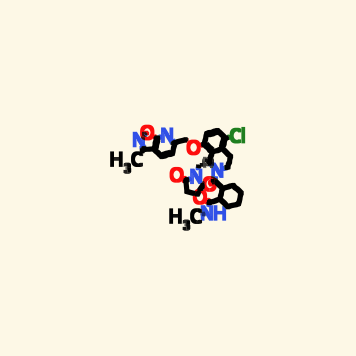 CNC(=O)C1CCCCC1C(=O)N1CCc2c(Cl)ccc(OCc3ccc4c(C)noc4n3)c2[C@H]1CN1CCCC1=O